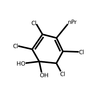 CCCC1=C(Cl)C(Cl)C(O)(O)C(Cl)=C1Cl